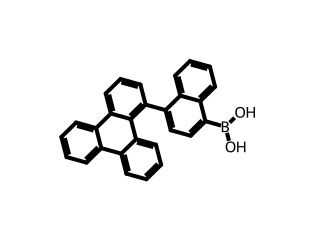 OB(O)c1ccc(-c2cccc3c4ccccc4c4ccccc4c23)c2ccccc12